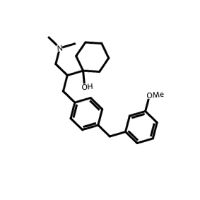 COc1cccc(Cc2ccc(CC(CN(C)C)C3(O)CCCCC3)cc2)c1